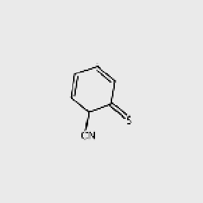 N#CC1C=C[C]=CC1=S